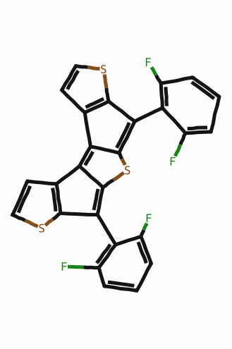 Fc1cccc(F)c1C1=c2sc3c(c2-c2ccsc21)-c1ccsc1C=3c1c(F)cccc1F